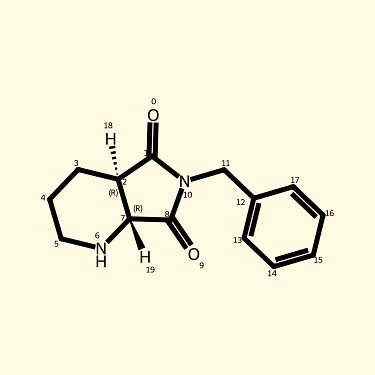 O=C1[C@@H]2CCCN[C@H]2C(=O)N1Cc1ccccc1